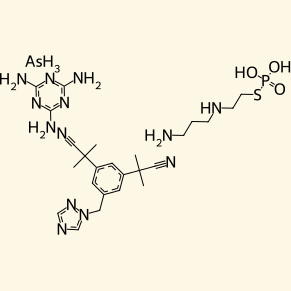 CC(C)(C#N)c1cc(Cn2cncn2)cc(C(C)(C)C#N)c1.NCCCNCCSP(=O)(O)O.Nc1nc(N)nc(N)n1.[AsH3]